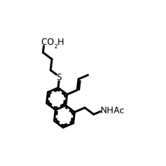 CC=Cc1c(SCCCC(=O)O)ccc2cccc(CCNC(C)=O)c12